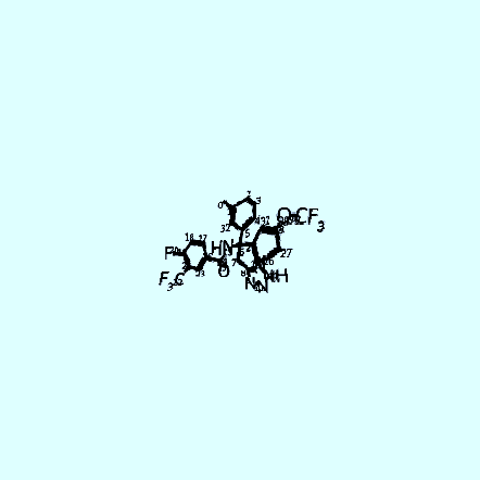 Cc1cccc(C(Cc2nn[nH]n2)(NC(=O)c2ccc(F)c(C(F)(F)F)c2)c2cccc(OC(F)(F)F)c2)c1